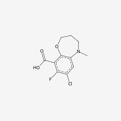 CN1CCCOc2c1cc(Cl)c(F)c2C(=O)O